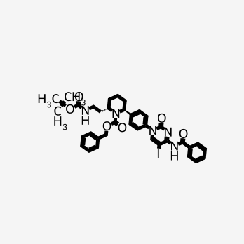 CC(C)(C)OC(=O)NCC[C@@H]1CCC[C@@H](c2ccc(-n3cc(I)c(NC(=O)c4ccccc4)nc3=O)cc2)N1C(=O)OCc1ccccc1